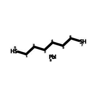 SCCCCCCS.[Pb]